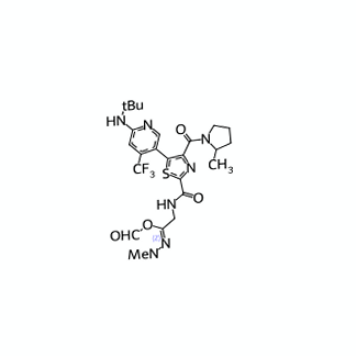 CN/N=C(/CNC(=O)c1nc(C(=O)N2CCCC2C)c(-c2cnc(NC(C)(C)C)cc2C(F)(F)F)s1)OC=O